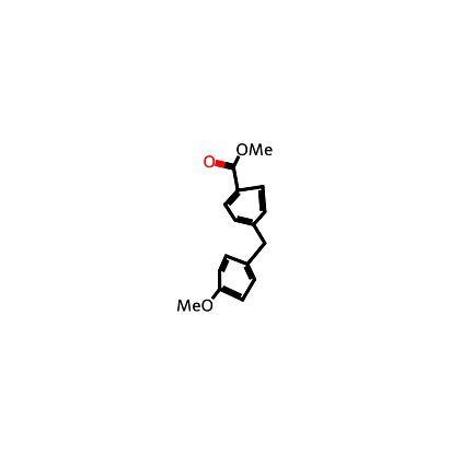 COC(=O)c1ccc(Cc2ccc(OC)cc2)cc1